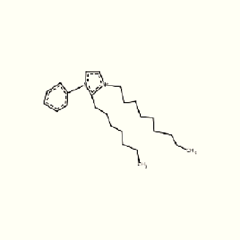 CCCCCCCCC[n+]1ccn(-c2ccccc2)c1CCCCCCC